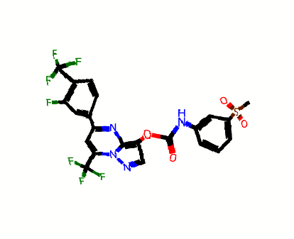 CS(=O)(=O)c1cccc(NC(=O)Oc2cnn3c(C(F)(F)F)cc(-c4ccc(C(F)(F)F)c(F)c4)nc23)c1